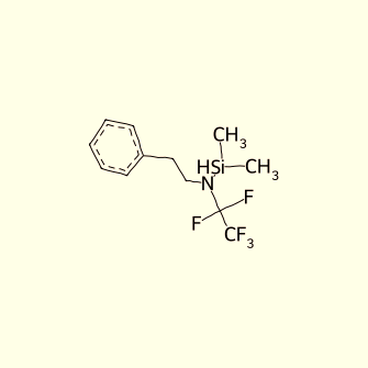 C[SiH](C)N(CCc1ccccc1)C(F)(F)C(F)(F)F